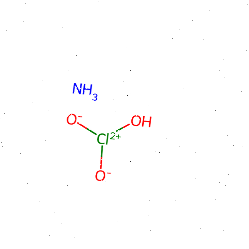 N.[O-][Cl+2]([O-])O